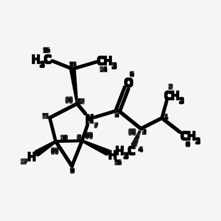 CC(C)[C@H](C)C(=O)N1[C@@H]2C[C@@H]2C[C@H]1C(C)C